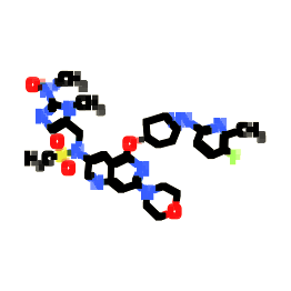 C=[N+]([O-])c1ncc(CN(c2cnc3cc(N4CCOCC4)nc(O[C@H]4CC[C@@H](Nc5ccc(F)c(C)n5)CC4)c3c2)S(C)(=O)=O)n1C